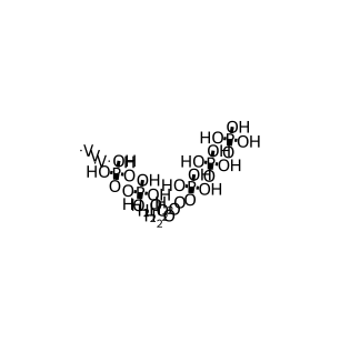 O.O.O.O.O.O=P(O)(O)O.O=P(O)(O)O.O=P(O)(O)O.O=P(O)(O)O.O=P(O)(O)O.[V].[V].[V]